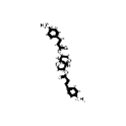 Cc1ccc(/C=C/C(=O)O[C@H]2CO[C@H]3[C@@H]2OC[C@H]3OC(=O)/C=C/c2ccc(C)cc2)cc1